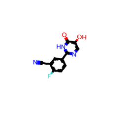 N#Cc1cc(-c2ncc(O)c(=O)[nH]2)ccc1F